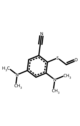 CN(C)c1cc(C#N)c(SC=O)c(N(C)C)c1